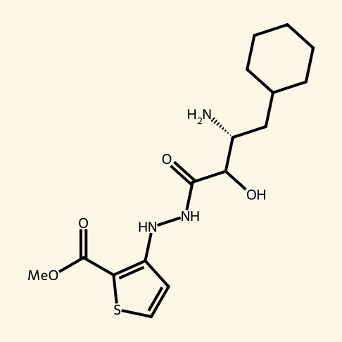 COC(=O)c1sccc1NNC(=O)C(O)[C@H](N)CC1CCCCC1